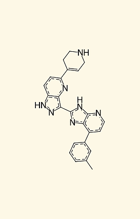 Cc1cccc(-c2ccnc3[nH]c(-c4n[nH]c5ccc(C6=CCNCC6)nc45)nc23)c1